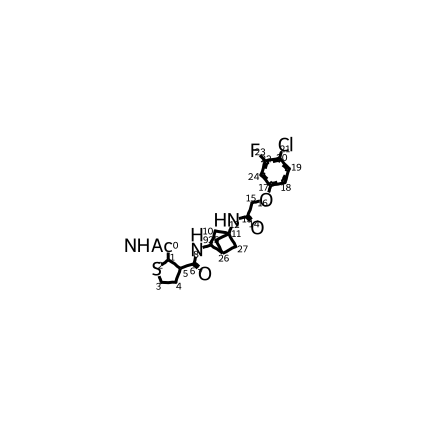 CC(=O)NC1SCCC1C(=O)NC1CC2(NC(=O)COc3ccc(Cl)c(F)c3)CC1C2